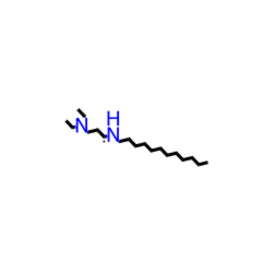 CCCCCCCCCCCCN[CH]CCN(CC)CC